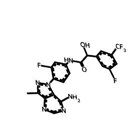 Cc1nn(-c2ccc(NC(=O)C(O)c3cc(F)cc(C(F)(F)F)c3)cc2F)c2c(N)ncnc12